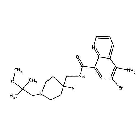 COC(C)(C)CN1CCC(F)(CNC(=O)c2cc(Br)c(N)c3cccnc23)CC1